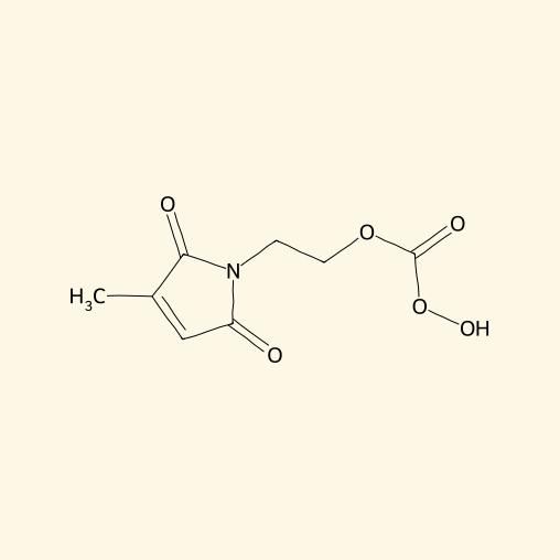 CC1=CC(=O)N(CCOC(=O)OO)C1=O